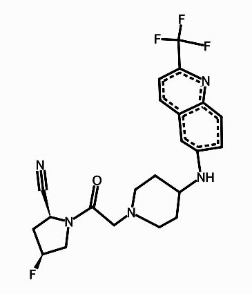 N#C[C@@H]1C[C@H](F)CN1C(=O)CN1CCC(Nc2ccc3nc(C(F)(F)F)ccc3c2)CC1